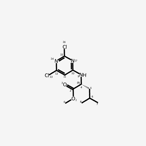 COC(=O)[C@@H](CC(C)C)Nc1cc(Cl)nc(Cl)n1